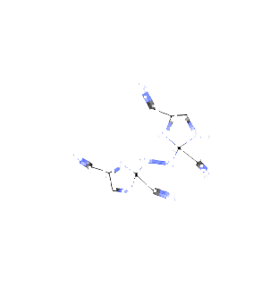 N#CC1=NC(C#N)(N=NC2(C#N)N=CC(C#N)=N2)N=C1